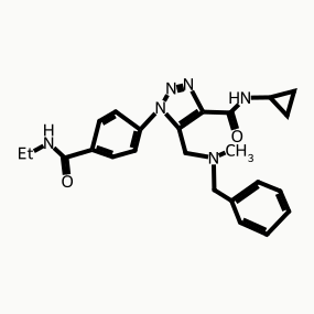 CCNC(=O)c1ccc(-n2nnc(C(=O)NC3CC3)c2CN(C)Cc2ccccc2)cc1